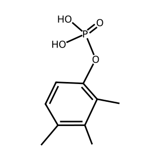 Cc1ccc(OP(=O)(O)O)c(C)c1C